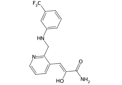 NC(=O)C(O)=Cc1cccnc1CNc1cccc(C(F)(F)F)c1